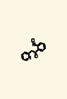 O=Nc1ccccc1C(=O)Cc1ccccn1